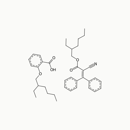 CCCCC(CC)COC(=O)C(C#N)=C(c1ccccc1)c1ccccc1.CCCCC(CC)COc1ccccc1C(=O)O